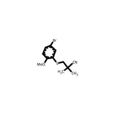 COc1ccc(Br)cc1SCC(C)(C)C#N